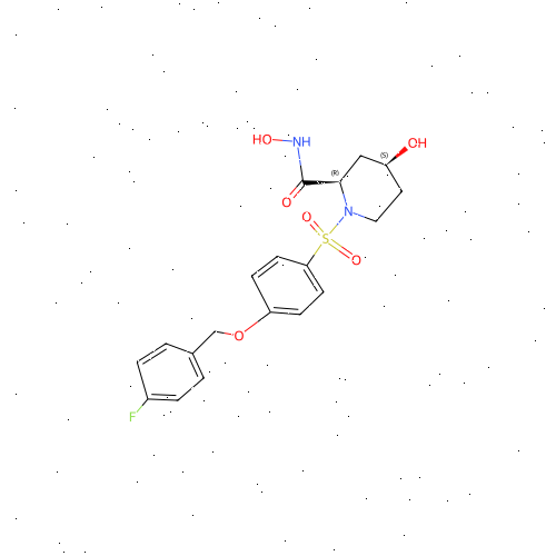 O=C(NO)[C@H]1C[C@@H](O)CCN1S(=O)(=O)c1ccc(OCc2ccc(F)cc2)cc1